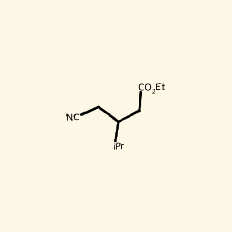 CCOC(=O)CC(CC#N)C(C)C